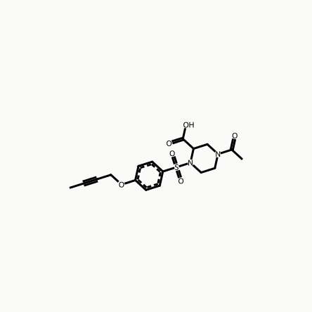 CC#CCOc1ccc(S(=O)(=O)N2CCN(C(C)=O)CC2C(=O)O)cc1